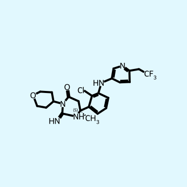 C[C@@]1(c2cccc(Nc3ccc(CC(F)(F)F)nc3)c2Cl)CC(=O)N(C2CCOCC2)C(=N)N1